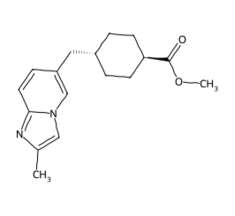 COC(=O)[C@H]1CC[C@H](Cc2ccc3nc(C)cn3c2)CC1